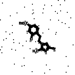 CCOC(=O)c1ccc(CCn2cc(Br)nc2C)c(Cl)c1